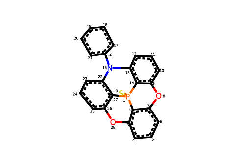 S=P12c3c4cccc3Oc3cccc(c31)N(c1ccccc1)c1cccc(c12)O4